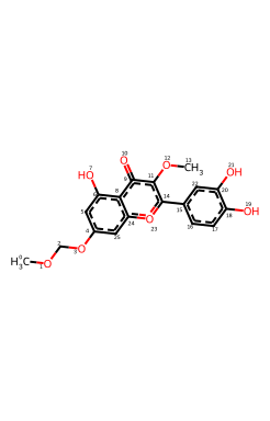 COCOc1cc(O)c2c(=O)c(OC)c(-c3ccc(O)c(O)c3)oc2c1